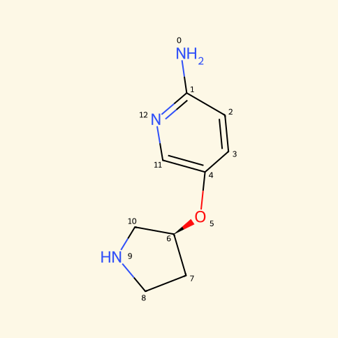 Nc1ccc(O[C@H]2CCNC2)cn1